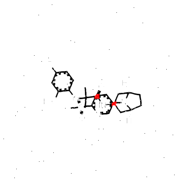 CC(C)(Oc1ccc(F)cc1C(F)(F)F)C(=O)N[C@H]1C[C@H]2CC[C@@H](C1)N2c1ccc(S(C)(=O)=O)nc1